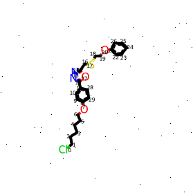 ClCCCCCCOc1ccc(-c2nnc(CSCCOc3ccccc3)o2)cc1